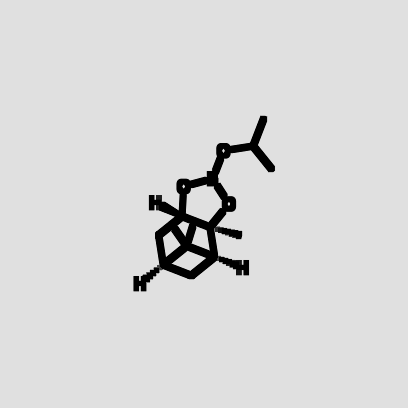 CC(C)OB1O[C@H]2C[C@@H]3C[C@@H](C3(C)C)[C@]2(C)O1